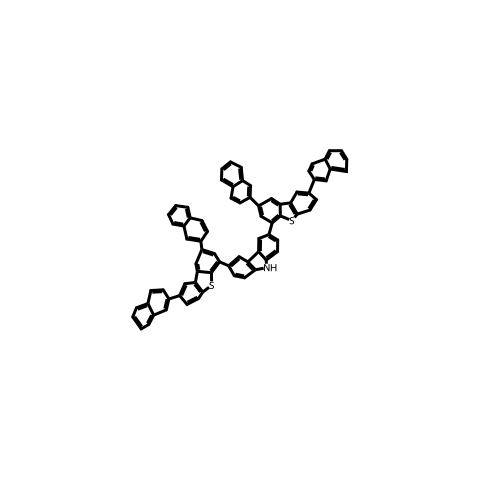 c1ccc2cc(-c3ccc4sc5c(-c6ccc7[nH]c8ccc(-c9cc(-c%10ccc%11ccccc%11c%10)cc%10c9sc9ccc(-c%11ccc%12ccccc%12c%11)cc9%10)cc8c7c6)cc(-c6ccc7ccccc7c6)cc5c4c3)ccc2c1